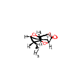 C[C@@H]1[C@@H]2O[C@H]3COC(=O)[C@@H](O[C@@H]13)[C@H]2C